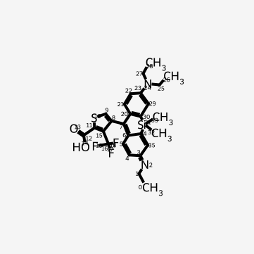 CC/N=C1\C=CC2=C(c3csc(C(=O)O)c3C(F)(F)F)c3ccc(N(CC)CC)cc3[Si](C)(C)C2=C1